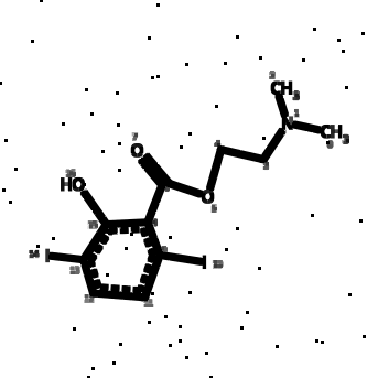 CN(C)CCOC(=O)c1c(I)ccc(I)c1O